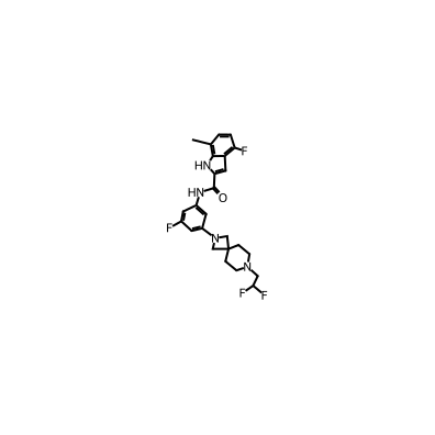 Cc1ccc(F)c2cc(C(=O)Nc3cc(F)cc(N4CC5(CCN(CC(F)F)CC5)C4)c3)[nH]c12